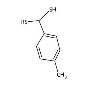 Cc1ccc(C(S)S)cc1